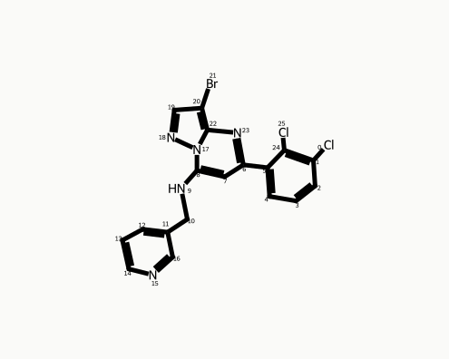 Clc1cccc(-c2cc(NCc3cccnc3)n3ncc(Br)c3n2)c1Cl